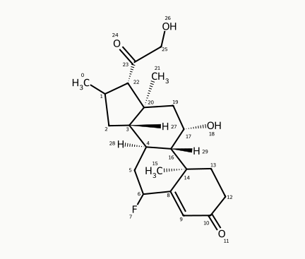 CC1C[C@H]2[C@@H]3CC(F)C4=CC(=O)CC[C@]4(C)[C@H]3[C@@H](O)C[C@]2(C)[C@H]1C(=O)CO